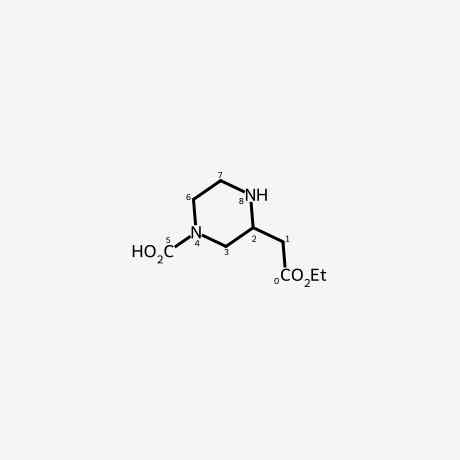 CCOC(=O)CC1CN(C(=O)O)CCN1